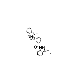 Nc1ccccc1NC(=O)c1cccc(C(=O)Nc2ccccc2N)c1